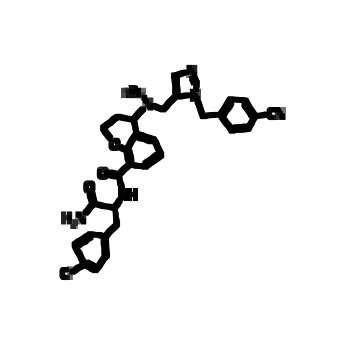 CCCCN(Cc1cncn1Cc1ccc(C#N)cc1)C1CCOc2c(C(=O)N[C@@H](Cc3ccc(Cl)cc3)C(N)=O)cccc21